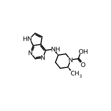 C[C@H]1CC[C@@H](Nc2ncnc3[nH]ccc23)CN1C(=O)O